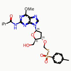 COc1nc(NC(=O)C(C)C)nc2c1ncn2[C@H]1C[C@H](OCSS(=O)(=O)c2ccc(C)cc2)[C@@H](CO)O1